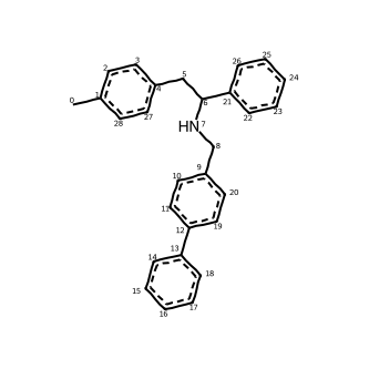 Cc1ccc(CC(NCc2ccc(-c3ccccc3)cc2)c2ccccc2)cc1